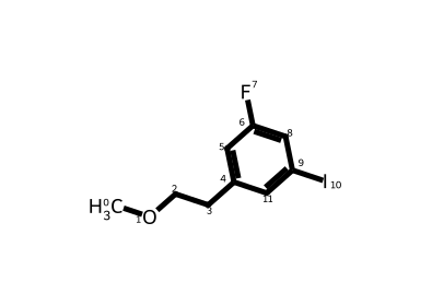 COCCc1cc(F)cc(I)c1